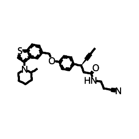 CC#C[C@@H](CC(=O)NCCC#N)c1ccc(OCc2ccc3scc(N4CCCCC4C)c3c2)cc1